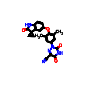 Cc1cc(-n2nc(C#N)c(=O)[nH]c2=O)cc(C)c1Oc1ccc2c(c1)C1(CC1)C(=O)N2